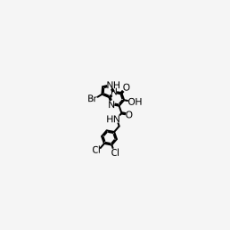 O=C(NCc1ccc(Cl)c(Cl)c1)c1nc2c(Br)c[nH]n2c(=O)c1O